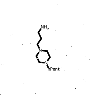 CCCCCN1CCN(CCCN)CC1